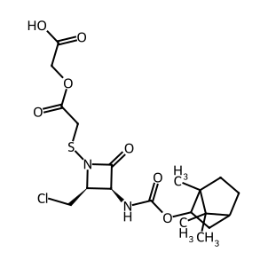 CC1(C)C2CCC1(C)C(OC(=O)N[C@@H]1C(=O)N(SCC(=O)OCC(=O)O)[C@@H]1CCl)C2